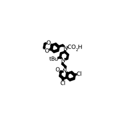 CC(C)(C)C1CC(N(Cc2ccc3c(c2)OCCO3)C(=O)O)CCN1CCn1c(=O)cc(Cl)c2ccc(Cl)cc21